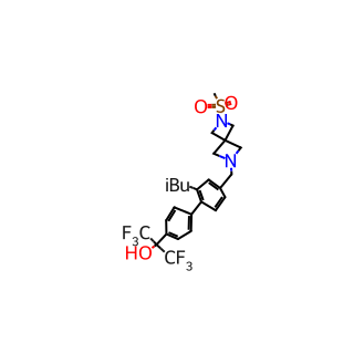 CCC(C)c1cc(CN2CC3(C2)CN(S(C)(=O)=O)C3)ccc1-c1ccc(C(O)(C(F)(F)F)C(F)(F)F)cc1